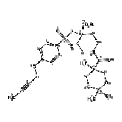 CC#CCOc1ccc(S(=O)(=O)CC2(C(=O)OCC)CCN(C(=O)C3(C)COC(C)(C)OC3)CC2)cc1